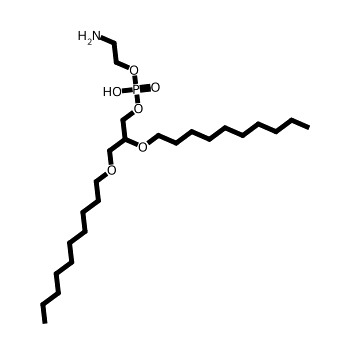 CCCCCCCCCCOCC(COP(=O)(O)OCCN)OCCCCCCCCCC